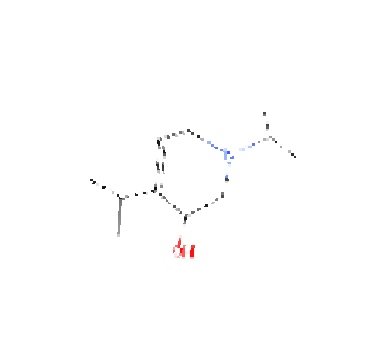 CC(C)C1=CCN(C(C)C)CC1O